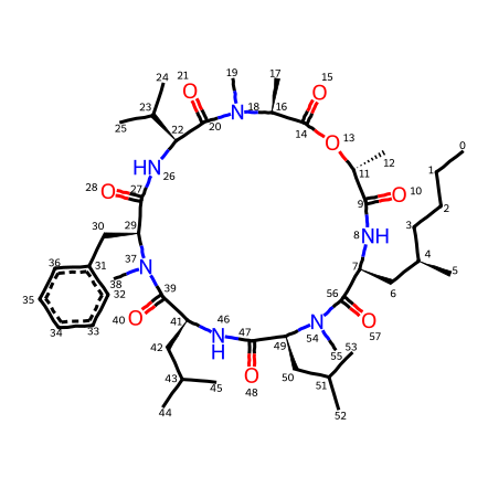 CCCC[C@@H](C)C[C@@H]1NC(=O)[C@@H](C)OC(=O)[C@H](C)N(C)C(=O)[C@H](C(C)C)NC(=O)[C@H](Cc2ccccc2)N(C)C(=O)[C@H](CC(C)C)NC(=O)[C@H](CC(C)C)N(C)C1=O